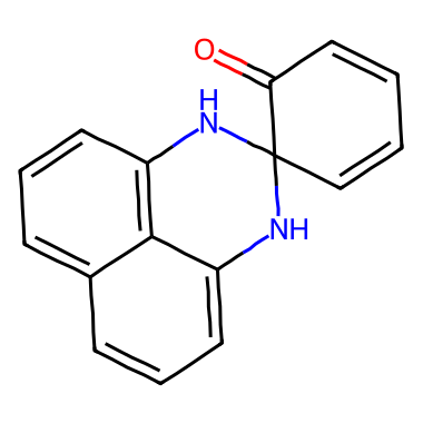 O=C1C=CC=CC12Nc1cccc3cccc(c13)N2